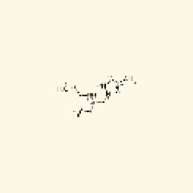 CCCNC(CC)Cn1cc(N)cn1